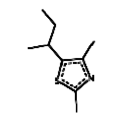 CCC(C)c1sc(C)nc1C